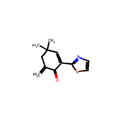 C=C1CC(C)(C)C=C(c2nccs2)C1=O